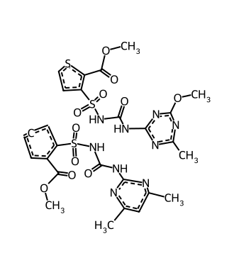 COC(=O)c1ccccc1S(=O)(=O)NC(=O)Nc1nc(C)cc(C)n1.COC(=O)c1sccc1S(=O)(=O)NC(=O)Nc1nc(C)nc(OC)n1